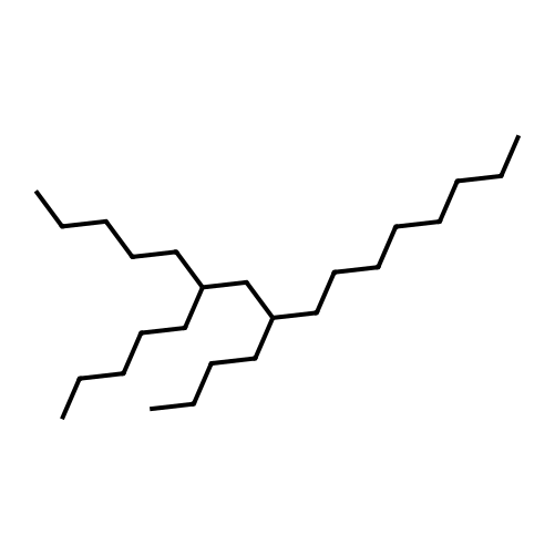 CCCCCCCCC(CCCC)CC(CCCCC)CCCCC